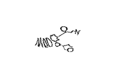 COc1ccc(C(=O)/C=C/N(C)C)cc1O[C@@H]1CCOC1